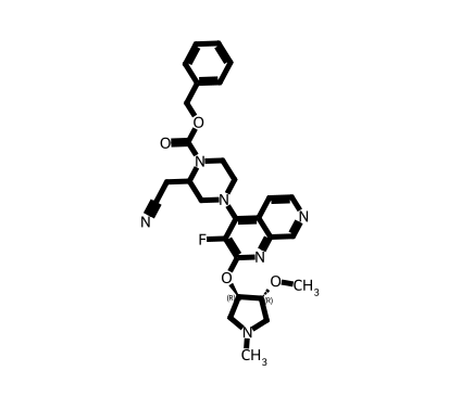 CO[C@@H]1CN(C)C[C@H]1Oc1nc2cnccc2c(N2CCN(C(=O)OCc3ccccc3)C(CC#N)C2)c1F